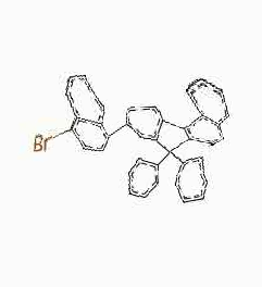 Brc1ccc(-c2ccc3c(c2)C(c2ccccc2)(c2ccccc2)c2ccc4ccccc4c2-3)c2ccccc12